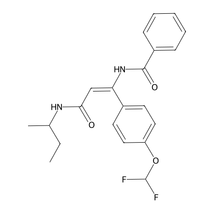 CCC(C)NC(=O)C=C(NC(=O)c1ccccc1)c1ccc(OC(F)F)cc1